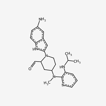 CC(C)Nc1cccnc1N(C)C1CCN(c2cc3cc(N)ccc3[nH]2)C(C=O)C1